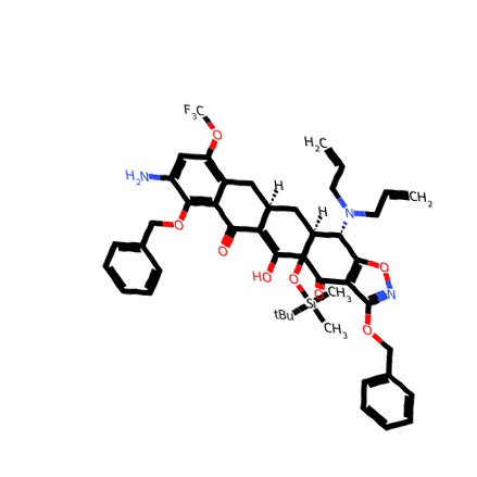 C=CCN(CC=C)[C@@H]1c2onc(OCc3ccccc3)c2C(=O)C2(O[Si](C)(C)C(C)(C)C)C(O)=C3C(=O)c4c(c(OC(F)(F)F)cc(N)c4OCc4ccccc4)C[C@H]3C[C@@H]12